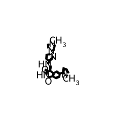 CN1CCN(c2ccc(NC=C3C(=O)NC(=O)c4ccc(-c5cccn5C)cc43)cn2)CC1